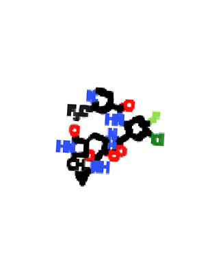 C[C@@H]1C[C@@H](CC(NC(=O)c2cc(Cl)c(F)cc2NC(=O)c2ccnc(C(F)(F)F)c2)C(=O)C(=O)NC2CC2)C(=O)N1